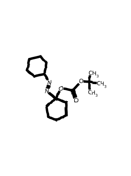 CC(C)(C)OC(=O)OC1(N=NC2CCCCC2)CCCCC1